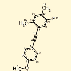 COc1ccc(C#Cc2cc(F)c(C)cc2C)cc1